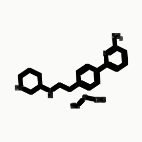 CC(C)(C)OC=O.Nc1cccc(-c2ccc(CCNC3CCCNC3)cc2)n1